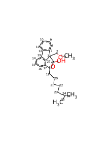 COCC1(C(=O)O)c2ccccc2-c2cccc(CCCCCCC(C)C)c21